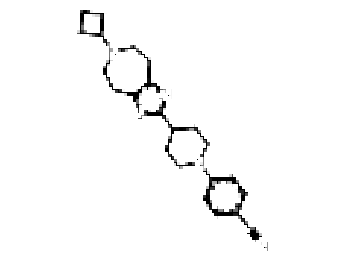 N#Cc1ccc(N2CCC(c3nc4c(s3)CCN(C3CCC3)CC4)CC2)cc1